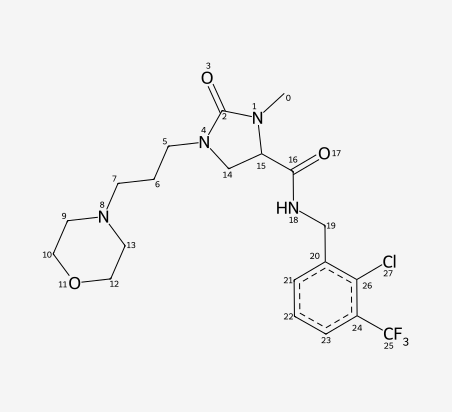 CN1C(=O)N(CCCN2CCOCC2)CC1C(=O)NCc1cccc(C(F)(F)F)c1Cl